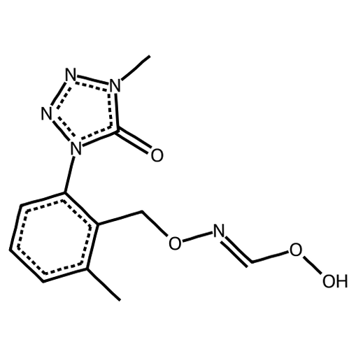 Cc1cccc(-n2nnn(C)c2=O)c1CON=COO